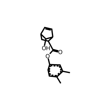 Cc1ccc(OC(=O)C2CC3C=CC2C3O)cc1C